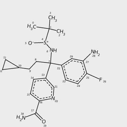 CC(C)(C)[S+]([O-])NC(CCC1CC1)(c1ccc(C(N)=O)nc1)c1ccc(F)c(N)c1